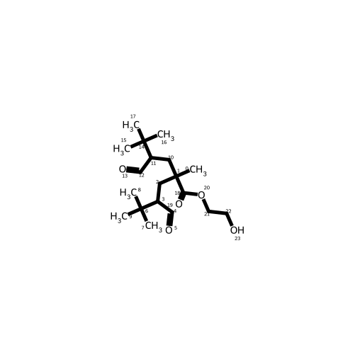 CC(CC(C=O)C(C)(C)C)(CC(C=O)C(C)(C)C)C(=O)OCCO